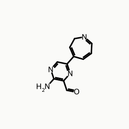 Nc1ncc(C2=CCN=CC=C2)nc1C=O